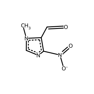 Cn1cnc([N+](=O)[O-])c1C=O